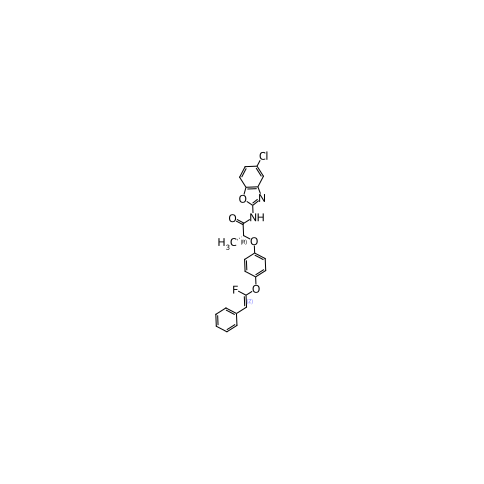 C[C@@H](Oc1ccc(O/C(F)=C/c2ccccc2)cc1)C(=O)Nc1nc2cc(Cl)ccc2o1